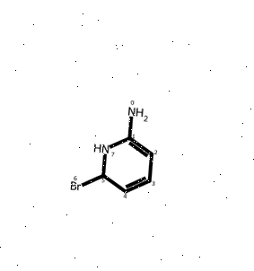 NC1=CC=CC(Br)N1